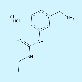 CCNC(=N)Nc1cccc(CN)c1.Cl.Cl